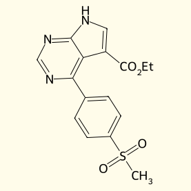 CCOC(=O)c1c[nH]c2ncnc(-c3ccc(S(C)(=O)=O)cc3)c12